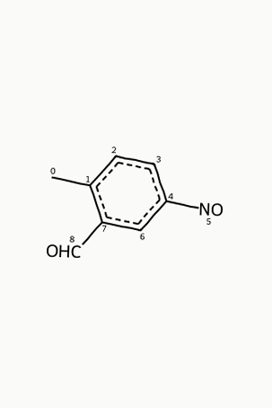 Cc1ccc(N=O)cc1C=O